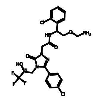 NCOCC(NC(=O)Cn1nc(-c2ccc(Cl)cc2)n(C[C@H](O)C(F)(F)F)c1=O)c1ccccc1Cl